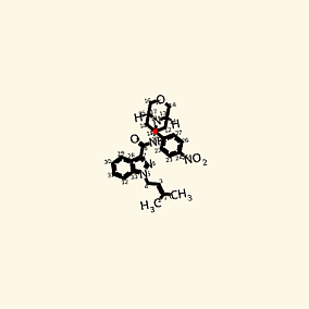 CC(C)=CCn1nc(C(=O)N[C@H]2C[C@H]3COC[C@@H](C2)N3Cc2ccc([N+](=O)[O-])cc2)c2ccccc21